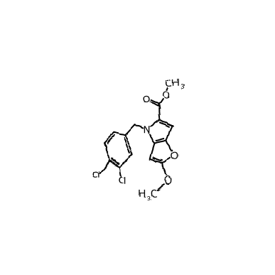 COC(=O)c1cc2oc(OC)cc2n1Cc1ccc(Cl)c(Cl)c1